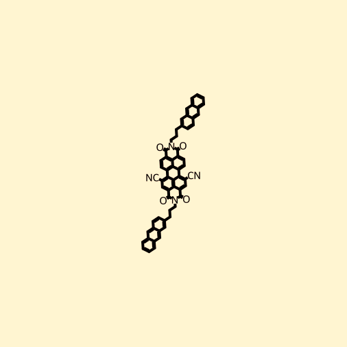 N#Cc1cc2c3c(cc(C#N)c4c5ccc6c7c(ccc(c1c34)c75)C(=O)N(CCCc1ccc3cc4ccccc4cc3c1)C6=O)C(=O)N(CCCc1ccc3cc4ccccc4cc3c1)C2=O